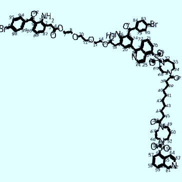 Nc1c(CC(=O)OCCOCCOCCOC(=O)Cc2cc(-c3nccc4c(S(=O)(=O)N5CCCN(C(=O)CCCCCCCCC(=O)N6CCCN(S(=O)(=O)c7cccc8cnccc78)CC6)CC5)cccc34)cc(C(=O)c3ccc(Br)cc3)c2N)cccc1C(=O)c1ccc(Br)cc1